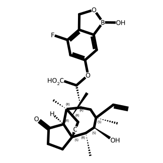 C=C[C@]1(C)C[C@@H](C(Oc2cc(F)c3c(c2)B(O)OC3)C(=O)O)[C@@]2(C)[C@H](C)CC[C@]3(CCC(=O)[C@H]32)[C@@H](C)[C@@H]1O